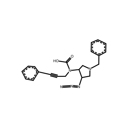 [N-]=[N+]=NC1CN(Cc2ccccc2)CC1N(CC#Cc1ccccc1)C(=O)O